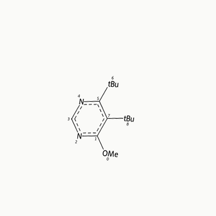 COc1ncnc(C(C)(C)C)c1C(C)(C)C